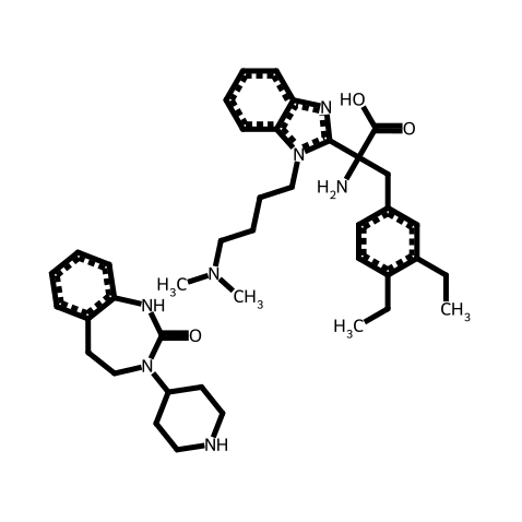 CCc1ccc(CC(N)(C(=O)O)c2nc3ccccc3n2CCCCN(C)C)cc1CC.O=C1Nc2ccccc2CCN1C1CCNCC1